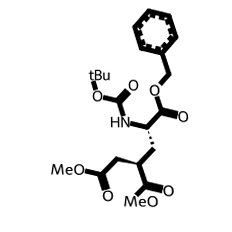 COC(=O)C[C@@H](C[C@H](NC(=O)OC(C)(C)C)C(=O)OCc1ccccc1)C(=O)OC